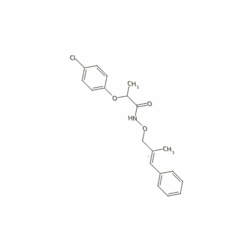 C/C(=C\c1ccccc1)CONC(=O)C(C)Oc1ccc(Cl)cc1